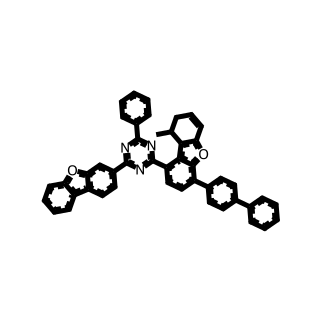 CC1CC=Cc2oc3c(-c4ccc(-c5ccccc5)cc4)ccc(-c4nc(-c5ccccc5)nc(-c5ccc6c(c5)oc5ccccc56)n4)c3c21